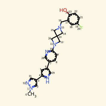 Cn1cc(-c2cc(-c3ccc(N4CC5(CN(Cc6cc(F)ccc6O)C5)C4)nc3)c[nH]2)cn1